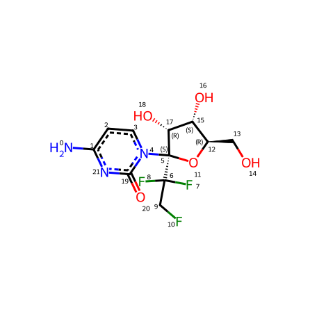 Nc1ccn([C@]2(C(F)(F)CF)O[C@H](CO)[C@@H](O)[C@H]2O)c(=O)n1